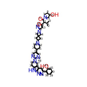 CC(C)C(C(=O)N1CC[C@@H](O)C1)c1cc(N2CC3(CC(N4CCC(c5cnc(N6CCc7[nH]c8nnc(-c9ccccc9O)cc8c7[C@H]6C)nc5)CC4)C3)C2)no1